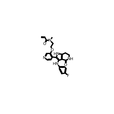 C=CC(=O)N(C)CCOc1cnccc1-c1[nH]c2c(c1Nc1ccc(F)cc1)C(=O)NCC2